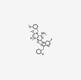 C=C(/N=C(/N)C(=C(N)N)N(Cc1cccc(OC)c1)C(=O)OC)n1nc(Cc2ccccc2F)c2ncc(F)cc21